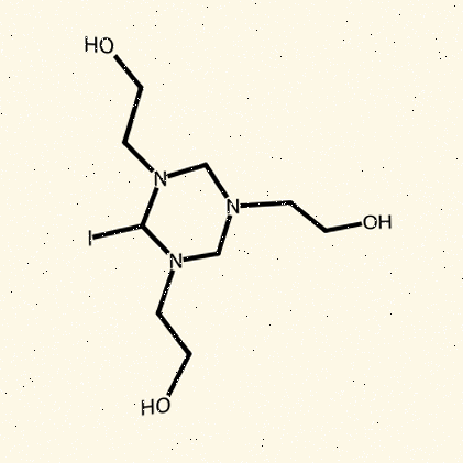 OCCN1CN(CCO)C(I)N(CCO)C1